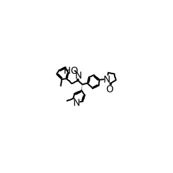 Cc1cc([C@H](/C(Cc2ccccc2C)=N/O)c2ccc(N3CCCC3=O)cc2)ccn1